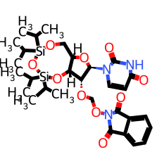 CC(C)[Si]1(C(C)C)OC[C@H]2O[C@@H](n3ccc(=O)[nH]c3=O)[C@H](OCON3C(=O)c4ccccc4C3=O)[C@@H]2O[Si](C(C)C)(C(C)C)O1